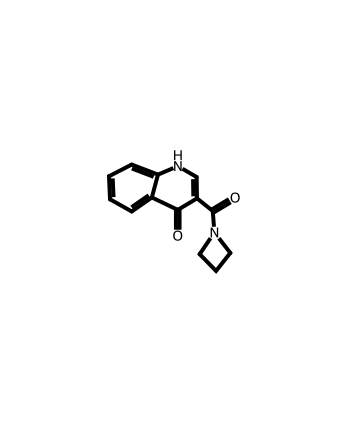 O=C(c1c[nH]c2ccccc2c1=O)N1CCC1